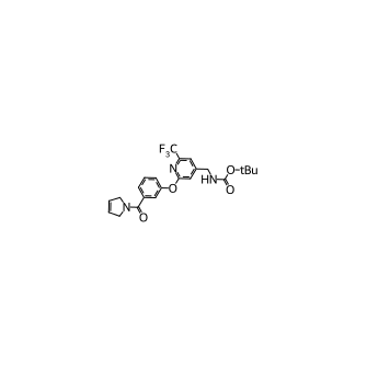 CC(C)(C)OC(=O)NCc1cc(Oc2cccc(C(=O)N3CC=CC3)c2)nc(C(F)(F)F)c1